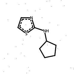 c1csc(NC2CCCC2)n1